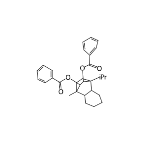 CC(C)C12CCC(C)(C3CCCCC31)C(OC(=O)c1ccccc1)C2OC(=O)c1ccccc1